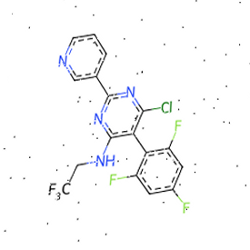 Fc1cc(F)c(-c2c(Cl)nc(-c3cccnc3)nc2NCC(F)(F)F)c(F)c1